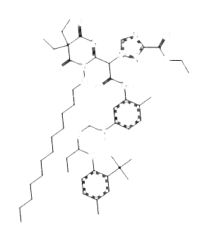 CCCCCCCCCCCCON1C(=O)C(CC)(CC)C(=O)N=C1C(C(=O)Nc1cc(NCOC(CC)Oc2ccc(C)cc2C(C)(C)C)ccc1C)n1cnc(C(=O)OCC)n1